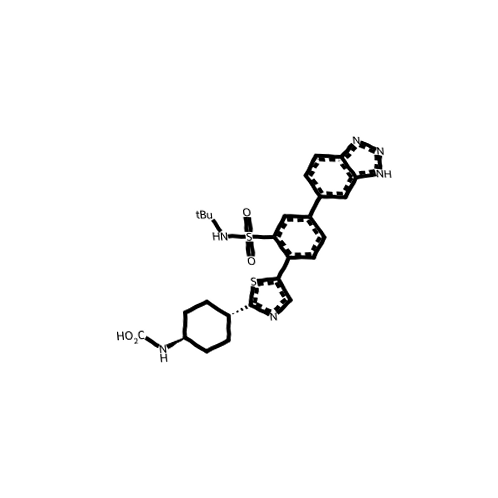 CC(C)(C)NS(=O)(=O)c1cc(-c2ccc3nn[nH]c3c2)ccc1-c1cnc([C@H]2CC[C@H](NC(=O)O)CC2)s1